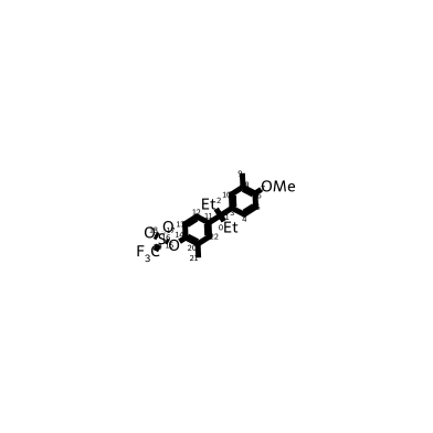 CCC(CC)(c1ccc(OC)c(C)c1)c1ccc(OS(=O)(=O)C(F)(F)F)c(C)c1